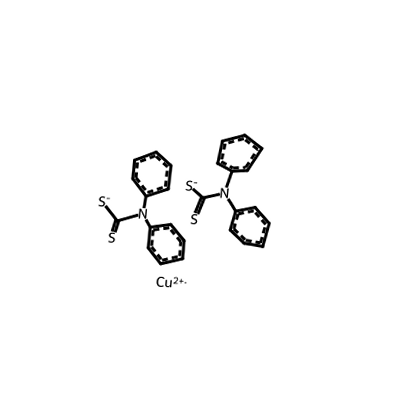 S=C([S-])N(c1ccccc1)c1ccccc1.S=C([S-])N(c1ccccc1)c1ccccc1.[Cu+2]